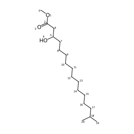 COC(=O)CC(O)CCCCCCCCCCCC(C)C